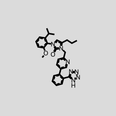 CCCc1cn(-c2c(OC)cccc2C(C)C)c(=O)n1Cc1ccc(-c2ccccc2-c2nnn[nH]2)cn1